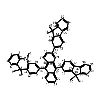 CN1c2ccccc2C(C)(C)c2ccc(-c3c4ccccc4c(-c4ccc5c(c4)C(C)(C)c4ccccc4-5)c4cc(-c5ccc6c(c5)C(C)(C)c5ccccc5-6)ccc34)cc21